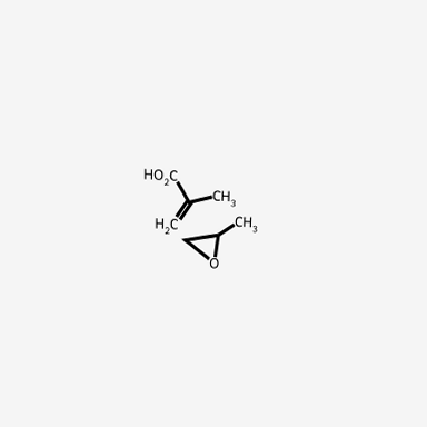 C=C(C)C(=O)O.CC1CO1